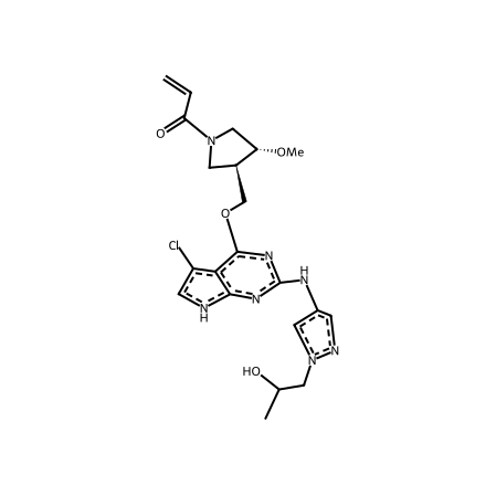 C=CC(=O)N1C[C@H](COc2nc(Nc3cnn(CC(C)O)c3)nc3[nH]cc(Cl)c23)[C@@H](OC)C1